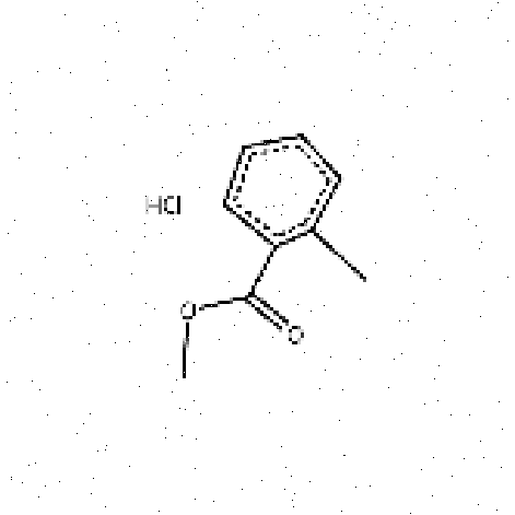 COC(=O)c1ccccc1C.Cl